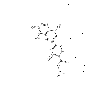 O=C(NC1CC1)c1ccc(C(F)=CC(c2ccc(Cl)c(Cl)c2)C(F)(F)F)cc1C(F)(F)F